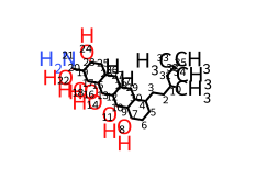 CC(CCC1CCC(O)C2C(O)C3C(O)[C@]4(O)C(O)C(C(N)O)C(O)C[C@@H]4C[C@@H]3CC12)CC(C)(C)C